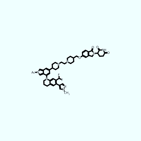 CC(=O)n1cc2cc(C3CCN(CCN4CCC(COc5ccc6c(c5)CN(C5CCC(=O)NC5=O)C6=O)CC4)CC3)cc(N3CCCc4cc(-c5cnn(C)c5)c(C(F)F)cc43)c2c1